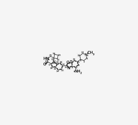 CN1CCC(c2cc(N)c3nc(-c4ccc5cc6n(c5c4)C4(CCC4)CNC6=O)oc3c2)CC1